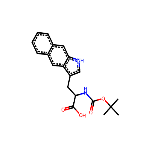 CC(C)(C)OC(=O)NC(Cc1c[nH]c2cc3ccccc3cc12)C(=O)O